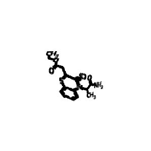 CCOC(=O)CC1Sc2ccccc2N(C(C)C(N)=O)C1=O